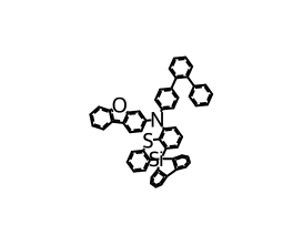 c1ccc(-c2ccccc2-c2ccc(N(c3ccc4c(c3)oc3ccccc34)c3cccc4c3Sc3ccccc3[Si]43c4ccccc4-c4ccccc43)cc2)cc1